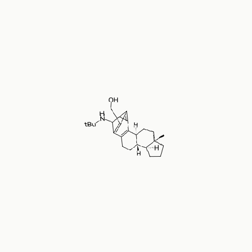 CC(C)(C)NC1c2c(CO)c3c(c4c2CC[C@@H]2[C@@H]4CC[C@]4(C)CCC[C@@H]24)C31